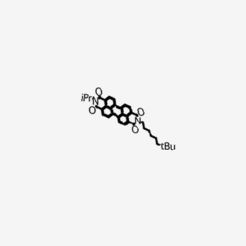 CC(C)N1C(=O)c2ccc3c4ccc5c6c(ccc(c7ccc(c2c37)C1=O)c64)C(=O)N(CCCCCCC(C)(C)C)C5=O